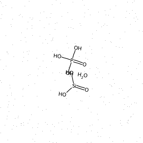 O.O=P(O)(O)O.O=[Si](O)O